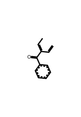 C=C/C(=C\C)C(=O)c1ccccc1